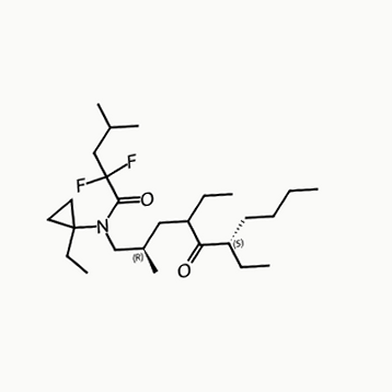 CCCC[C@H](CC)C(=O)C(CC)C[C@@H](C)CN(C(=O)C(F)(F)CC(C)C)C1(CC)CC1